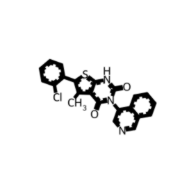 Cc1c(-c2ccccc2Cl)sc2[nH]c(=O)n(-c3cncc4ccccc34)c(=O)c12